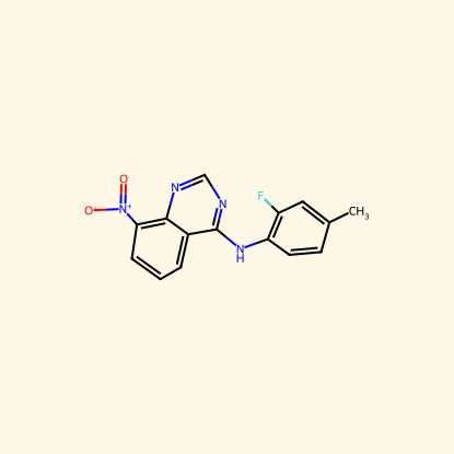 Cc1ccc(Nc2ncnc3c([N+](=O)[O-])cccc23)c(F)c1